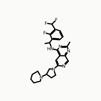 Cc1nc(NC(C)c2cccc(C(F)F)c2F)c2cc(N3CCC(N4CCCCC4)C3)ncc2n1